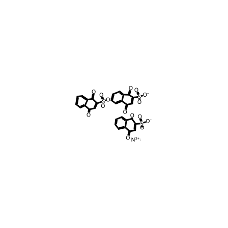 O=C1C=C(S(=O)(=O)[O-])C(=O)c2ccccc21.O=C1C=C(S(=O)(=O)[O-])C(=O)c2ccccc21.O=C1C=C(S(=O)(=O)[O-])C(=O)c2ccccc21.[N+3]